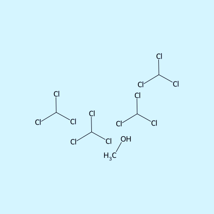 CO.ClC(Cl)Cl.ClC(Cl)Cl.ClC(Cl)Cl.ClC(Cl)Cl